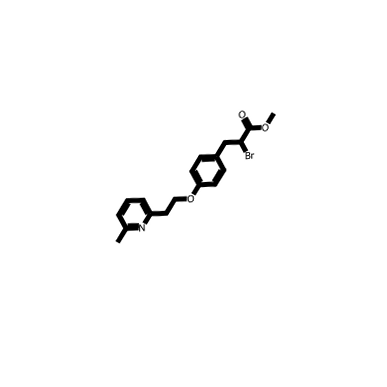 COC(=O)C(Br)Cc1ccc(OCCc2cccc(C)n2)cc1